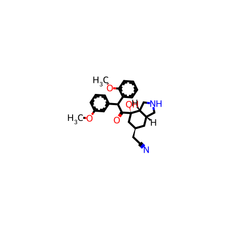 COc1cccc(C(C(=O)[C@]2(O)C[C@H](CC#N)C[C@H]3CNC[C@H]32)c2ccccc2OC)c1